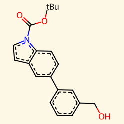 CC(C)(C)OC(=O)n1ccc2cc(-c3cccc(CO)c3)ccc21